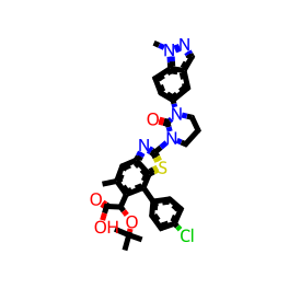 Cc1cc2nc(N3CCCN(c4ccc5c(cnn5C)c4)C3=O)sc2c(-c2ccc(Cl)cc2)c1C(OC(C)(C)C)C(=O)O